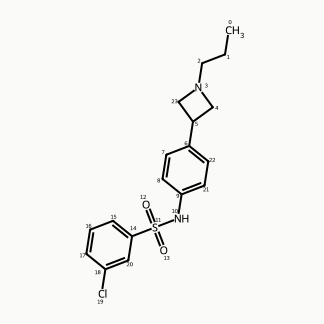 CCCN1CC(c2ccc(NS(=O)(=O)c3cccc(Cl)c3)cc2)C1